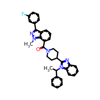 CC(c1ccccc1)n1c(C2CCN(C(=O)c3cccc4c(-c5cccc(F)c5)nn(C)c34)CC2)nc2ccccc21